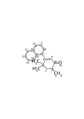 C=C1CC(C)(C)C(c2cccc3ccccc23)=CC1=O